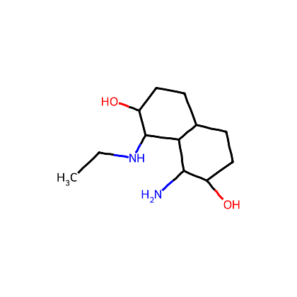 CCNC1C(O)CCC2CCC(O)C(N)C21